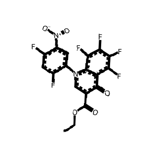 CCOC(=O)c1cn(-c2cc([N+](=O)[O-])c(F)cc2F)c2c(F)c(F)c(F)c(F)c2c1=O